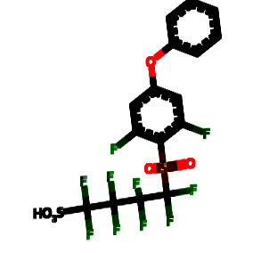 O=S(=O)(O)C(F)(F)C(F)(F)C(F)(F)C(F)(F)S(=O)(=O)c1c(F)cc(Oc2ccccc2)cc1F